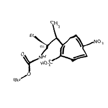 CC[C@H](NC(=O)OC(C)(C)C)C(C)c1cc([N+](=O)[O-])ccc1C(=O)O